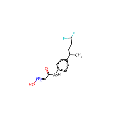 CC(CCC(F)F)c1ccc([AsH]C(=O)/C=N/O)cc1